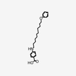 O=C(O)c1ccc(NCCCCCCCCCCCOc2ccccc2)cc1